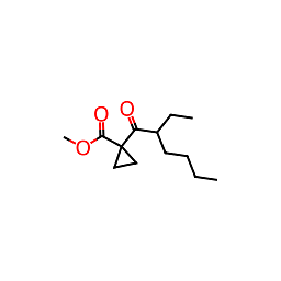 CCCCC(CC)C(=O)C1(C(=O)OC)CC1